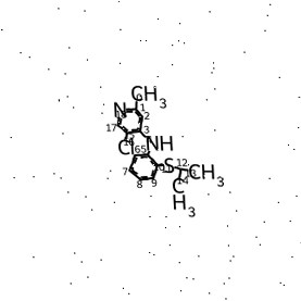 Cc1cc(Nc2ccccc2SC(C)C)c(Cl)cn1